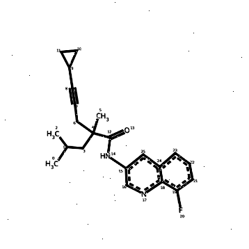 CC(C)CC(C)(CC#CC1CC1)C(=O)Nc1cnc2c(F)cccc2c1